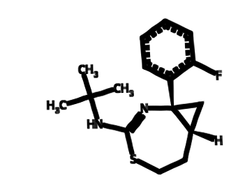 CC(C)(C)NC1=N[C@]2(c3ccccc3F)C[C@@H]2CCS1